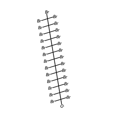 [O]C(Br)(Br)C(Br)(Br)C(Br)(Br)C(Br)(Br)C(Br)(Br)C(Br)(Br)C(Br)(Br)C(Br)(Br)C(Br)(Br)C(Br)(Br)C(Br)(Br)C(Br)(Br)C(Br)(Br)Br